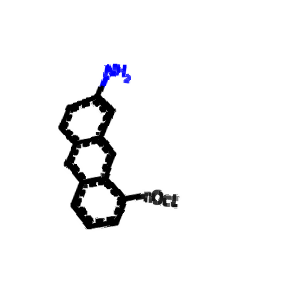 CCCCCCCCc1cccc2cc3ccc(N)cc3cc12